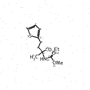 CCOC(=O)C(C)(CCc1cccs1)NC(=O)OC